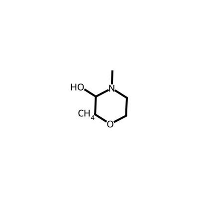 C.CN1CCOCC1O